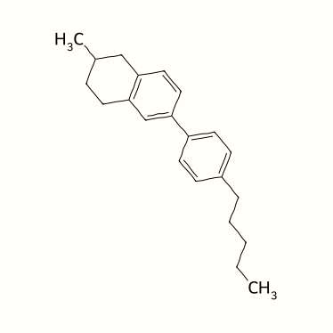 CCCCCc1ccc(-c2ccc3c(c2)CCC(C)C3)cc1